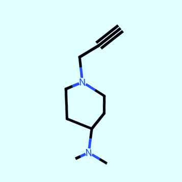 C#CCN1CCC(N(C)C)CC1